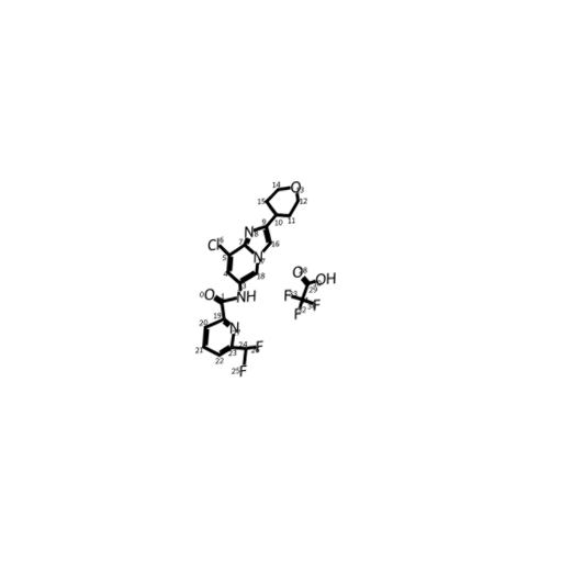 O=C(Nc1cc(Cl)c2nc(C3CCOCC3)cn2c1)c1cccc(C(F)F)n1.O=C(O)C(F)(F)F